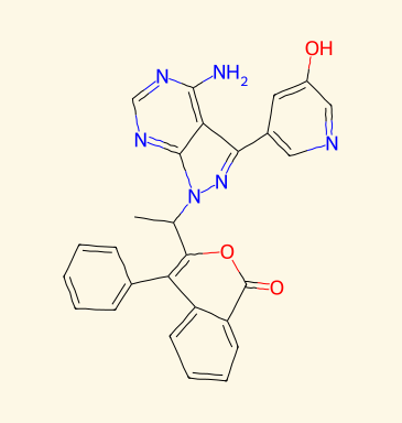 CC(c1oc(=O)c2ccccc2c1-c1ccccc1)n1nc(-c2cncc(O)c2)c2c(N)ncnc21